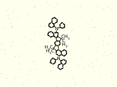 CC1(C)c2cc3c(cc2-c2c1cc(N(c1ccccc1)c1cccc4ccccc14)c1ccccc21)C(C)(C)c1cc(N(c2ccccc2)c2cccc4ccccc24)c2ccccc2c1-3